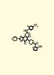 CCc1c(N2CCN(C(=O)c3ncccc3O)CC2)c(=O)n2nc(C3C=COCC3)nc2n1CC(=O)Nc1ccc(C(F)(F)F)cc1C